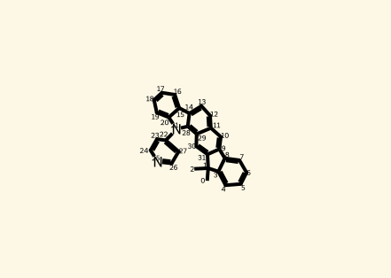 CC1(C)c2ccccc2-c2cc3ccc4c5ccccc5n(-c5ccncc5)c4c3cc21